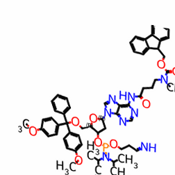 COc1ccc(C(OC[C@H]2O[C@@H](n3cnc4c(NC(=O)CCCN(C)C(=O)OCC5c6ccccc6-c6ccccc65)ncnc43)CC2OP(OCCC=N)N(C(C)C)C(C)C)(c2ccccc2)c2ccc(OC)cc2)cc1